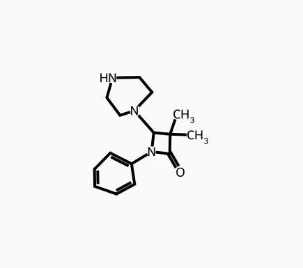 CC1(C)C(=O)N(c2ccccc2)C1N1CCNCC1